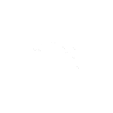 CN1CCN(c2nccn(-c3ccc(-c4cccnn4)cc3)c2=O)CC1